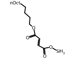 CCCCCCCCCCCCOC(=O)/C=C/C(=O)O[SiH3]